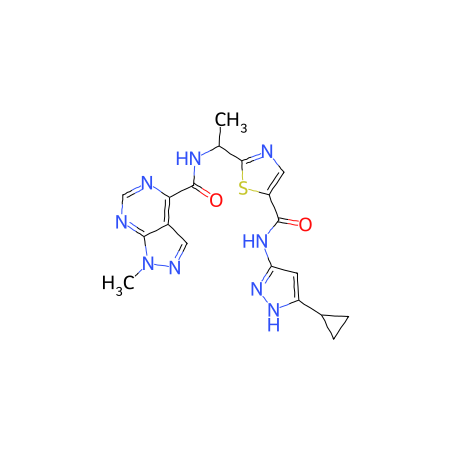 CC(NC(=O)c1ncnc2c1cnn2C)c1ncc(C(=O)Nc2cc(C3CC3)[nH]n2)s1